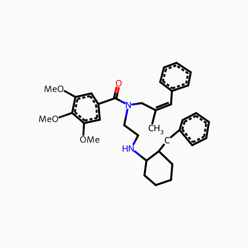 COc1cc(C(=O)N(CCNC2CCCCC2Cc2ccccc2)C/C(C)=C\c2ccccc2)cc(OC)c1OC